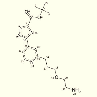 CC(C)(C)OC(=O)c1csc(-c2ccnc(CCCOCCN)c2)n1